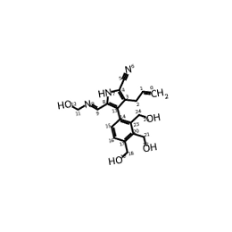 C=CCc1c(C#N)[nH]c(/C=N/CO)c1-c1ccc(CO)c(CO)c1CO